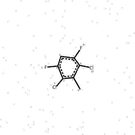 [CH2]c1c(Cl)c(F)cc(F)c1Cl